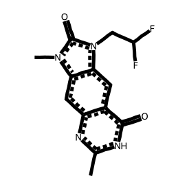 Cc1nc2cc3c(cc2c(=O)[nH]1)n(CC(F)F)c(=O)n3C